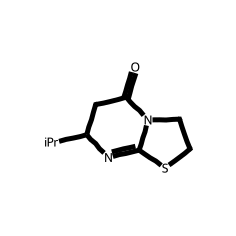 CC(C)C1CC(=O)N2CCSC2=N1